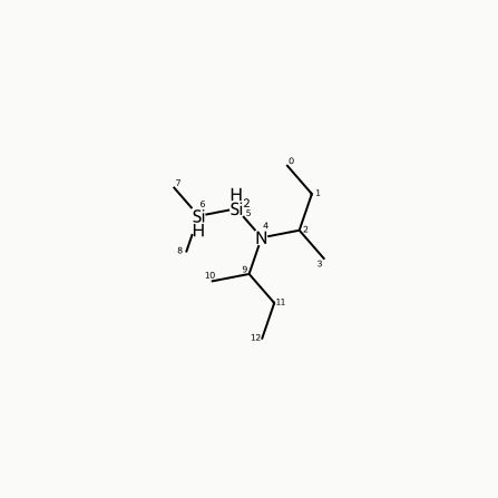 CCC(C)N([SiH2][SiH](C)C)C(C)CC